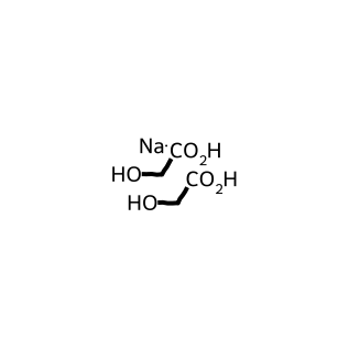 O=C(O)CO.O=C(O)CO.[Na]